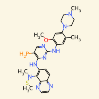 COc1cc(N2CCN(C)CC2)c(C)cc1Nc1ncc(P)c(Nc2ccc3nccnc3c2N(C)SC)n1